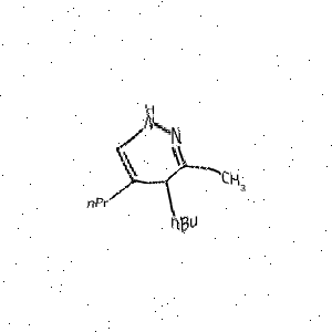 CCCCC1C(CCC)=CNN=C1C